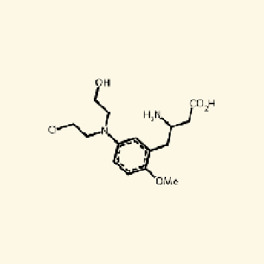 COc1ccc(N(CCO)CCCl)cc1CC(N)CC(=O)O